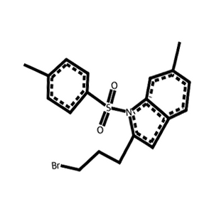 Cc1ccc(S(=O)(=O)n2c(CCCBr)cc3ccc(C)cc32)cc1